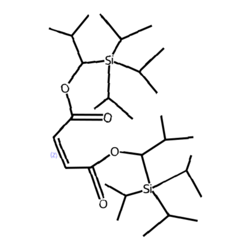 CC(C)C(OC(=O)/C=C\C(=O)OC(C(C)C)[Si](C(C)C)(C(C)C)C(C)C)[Si](C(C)C)(C(C)C)C(C)C